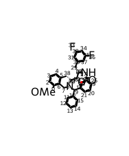 COc1cccc2c1CN(C(c1ccccc1)c1ccccc1)[C@@H]([C@H]1OC(=O)N[C@H]1Cc1cc(F)cc(F)c1)C2